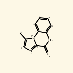 Cc1nnc2c(=O)oc3ccccc3n12